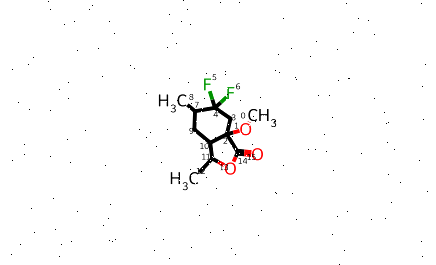 COC12CC(F)(F)C(C)CC1C(C)OC2=O